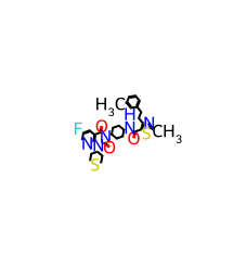 Cc1cccc(CCc2nc(C)sc2C(=O)N[C@H]2CC[C@@H](n3c(=O)c4cc(F)cnc4n(C4CCSCC4)c3=O)CC2)c1